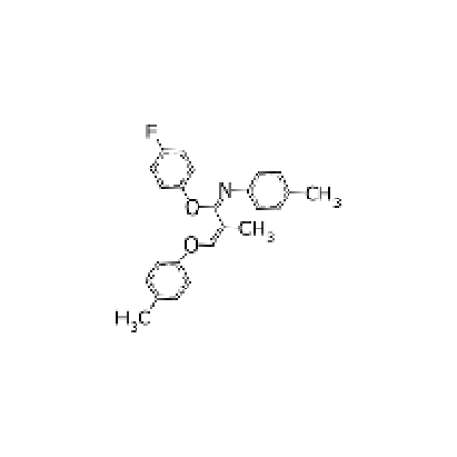 CC(=COc1ccc(C)cc1)C(=Nc1ccc(C)cc1)Oc1ccc(F)cc1